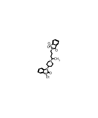 CCn1c(=O)n(C2CCN(C(C)CCCN3C(=O)c4ccccc4S3(=O)=O)CC2)c2ccccc21